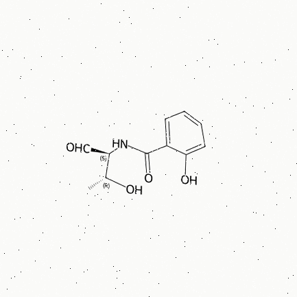 C[C@@H](O)[C@@H](C=O)NC(=O)c1ccccc1O